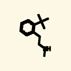 CNCCc1ccccc1C(C)(C)C